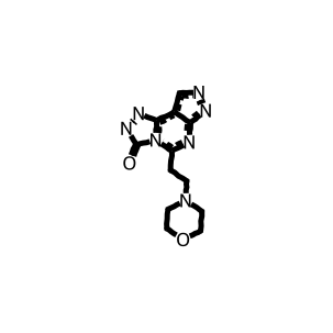 O=C1N=Nc2c3cnnc-3nc(CCN3CCOCC3)n21